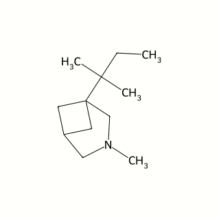 CCC(C)(C)C12CC(CN(C)C1)C2